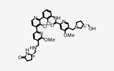 COc1cc(C(=O)Nc2cccc(-c3nccc(-c4ccc(CNC[C@H]5CCC(=O)N5)c(OC)n4)c3Cl)c2Cl)ncc1CN1CC[C@H](CO)C1